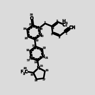 C#C/C=C\C(=C/C)Cn1nc(-c2cnc(N3CCCC3C(F)(F)F)nc2)ccc1=O